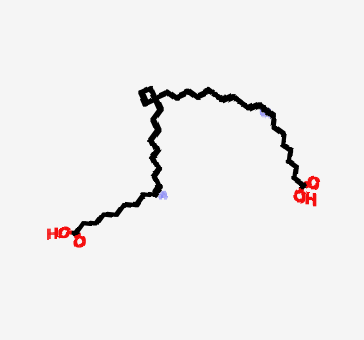 O=C(O)CCCCCCC/C=C\CCCCCCCCC1(CCCCCCCC/C=C\CCCCCCCC(=O)O)C=CC1